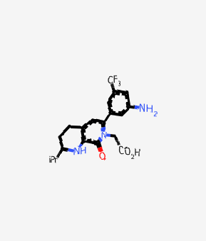 CC(C)C1CCc2cc(-c3cc(N)cc(C(F)(F)F)c3)n(CC(=O)O)c(=O)c2N1